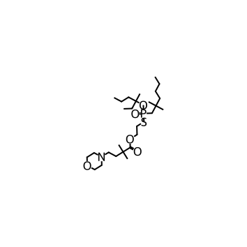 CCCCC(C)(C)CP(=O)(OC(C)(CC)CCC)SCCOC(=O)C(C)(C)CCN1CCOCC1